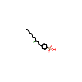 CCCCCCC(F)CCc1ccc(S(=O)(=O)O)cc1